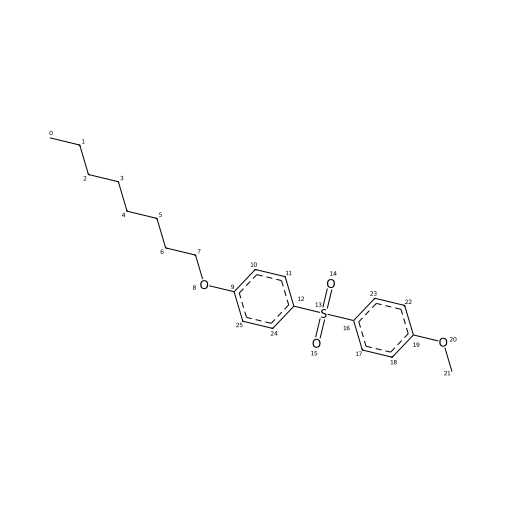 CCCCCCCCOc1ccc(S(=O)(=O)c2ccc(OC)cc2)cc1